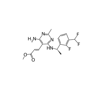 COC(=O)/C=C/c1c(N)nc(C)nc1N[C@H](C)c1cccc(C(F)F)c1F